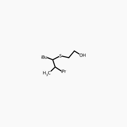 CCC(C)C(SCCO)C(C)C(C)C